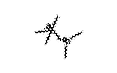 CCCCCCCCOC(=O)c1ccccc1C(=O)OCCCCCCCC.CCCCCCCCc1c(CCCCCCCC)c(CCCCCCCC)c(C(=O)O)c(C(=O)O)c1CCCCCCCC